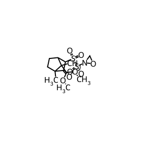 COC(OC)C1(C)C2CCC1(C)C(=O)C2S(=O)(=O)S(=O)(=O)N1CO1